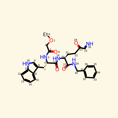 CCOCC(=O)N[C@@H](Cc1c[nH]c2ccccc12)C(=O)N[C@@H](CCC(=O)C=N)C(=O)NCc1ccccc1